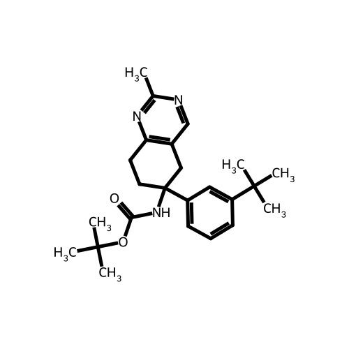 Cc1ncc2c(n1)CCC(NC(=O)OC(C)(C)C)(c1cccc(C(C)(C)C)c1)C2